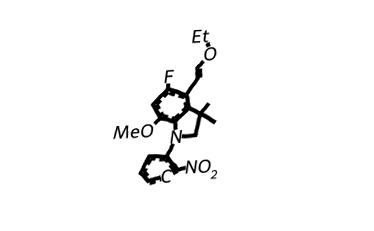 CCOC=Cc1c(F)cc(OC)c2c1C(C)(C)CN2c1ccccc1[N+](=O)[O-]